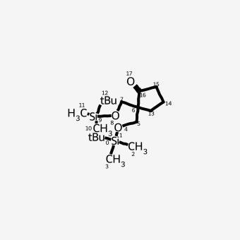 CC(C)(C)[Si](C)(C)OCC1(CO[Si](C)(C)C(C)(C)C)CCCC1=O